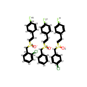 [O-][S+](C=Cc1ccc(F)cc1)Cc1ccc(Cl)cc1.[O-][S+](C=Cc1ccc(F)cc1)Cc1ccccc1.[O-][S+](C=Cc1ccc(F)cc1)Cc1ccccc1Cl